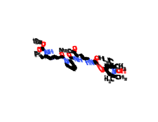 COC(=O)[C@H](CCCNC(=O)OC1CC(C)(C)N(O)C(C)(C)C1)NC(=O)[C@@H]1CCCN1C(=O)C/C=C/[C@H](CC(C)C)NC(=O)OC(C)(C)C